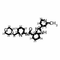 Cc1cc(-c2nc3c(C(=O)Nc4cccc(CN5CCOCC5)n4)cccc3[nH]2)ccn1